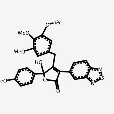 CCCOc1cc(CC2=C(c3ccc4nsnc4c3)C(=O)OC2(O)c2ccc(OC)cc2)cc(OC)c1OC